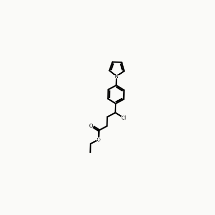 CCOC(=O)CCC(Cl)c1ccc(-n2cccc2)cc1